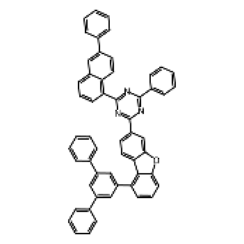 c1ccc(-c2cc(-c3ccccc3)cc(-c3cccc4oc5cc(-c6nc(-c7ccccc7)nc(-c7cccc8cc(-c9ccccc9)ccc78)n6)ccc5c34)c2)cc1